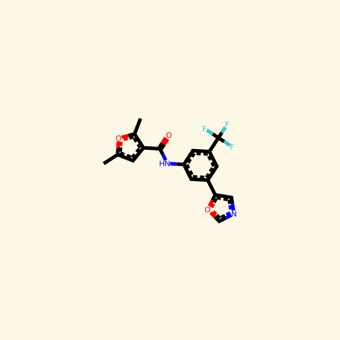 Cc1cc(C(=O)Nc2cc(-c3cnco3)cc(C(F)(F)F)c2)c(C)o1